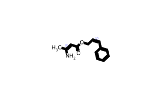 C/C(N)=C/C(=O)OC/C=C\c1ccccc1